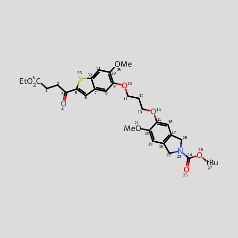 CCOC(=O)CCC(=O)c1cc2cc(OCCCOc3cc4c(cc3OC)CN(C(=O)OC(C)(C)C)C4)c(OC)cc2s1